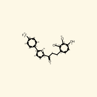 O=C(CCc1ccc(O)c(Cl)c1Cl)c1ccc(-c2ccc(C(F)(F)F)cc2)s1